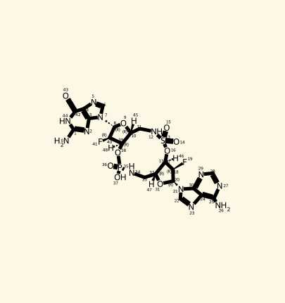 Nc1nc2c(ncn2[C@@H]2O[C@@H]3CNS(=O)(=O)O[C@H]4[C@@H](F)[C@H](n5cnc6c(N)ncnc65)O[C@@H]4CNP(=O)(O)O[C@H]3[C@H]2F)c(=O)[nH]1